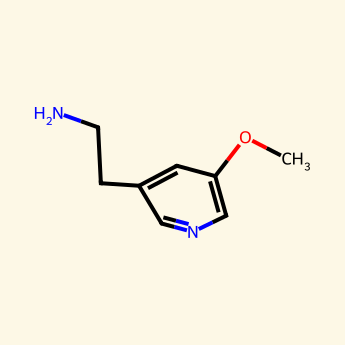 COc1cncc(CCN)c1